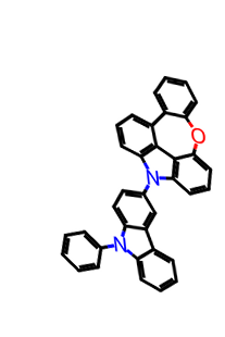 c1ccc(-n2c3ccccc3c3cc(-n4c5cccc6oc7ccccc7c7cccc4c7c65)ccc32)cc1